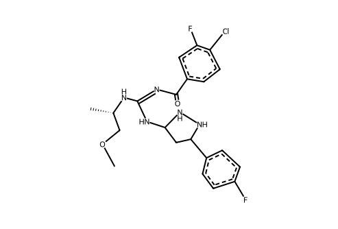 COC[C@H](C)N/C(=N/C(=O)c1ccc(Cl)c(F)c1)NC1CC(c2ccc(F)cc2)NN1